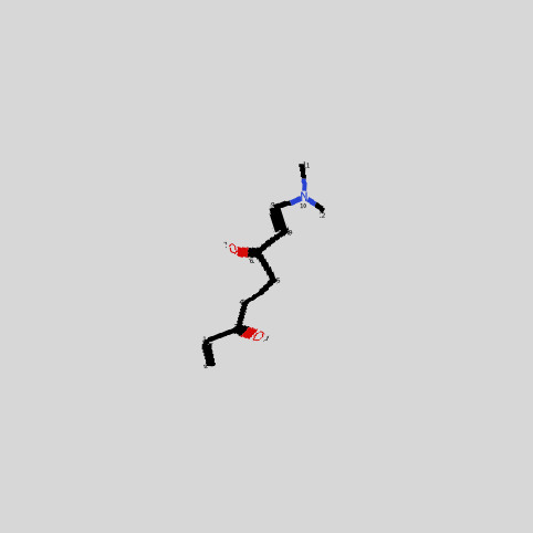 C=CC(=O)CCC(=O)C=CN(C)C